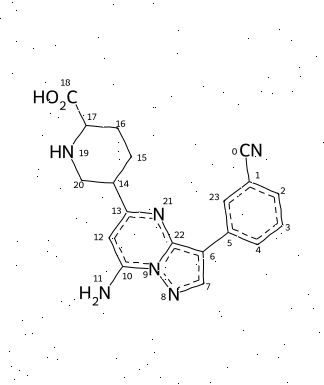 N#Cc1cccc(-c2cnn3c(N)cc(C4CCC(C(=O)O)NC4)nc23)c1